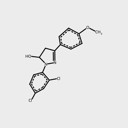 COc1ccc(C2=NN(c3ccc(Cl)cc3Cl)C(O)C2)cc1